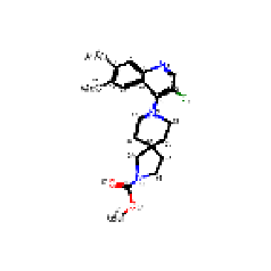 COc1cc2ncc(F)c(N3CCC4(CCN(C(=O)OC(C)(C)C)C4)CC3)c2cc1OC